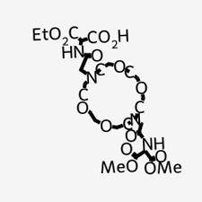 CCOC(=O)C(NC(=O)CN1CCOCCOCCN(CC(=O)NC(C(=O)OC)C(=O)OC)CCOCCOCC1)C(=O)O